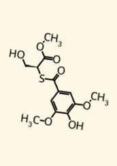 COC(=O)[C@H](CO)SC(=O)c1cc(OC)c(O)c(OC)c1